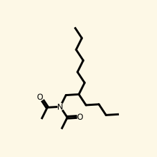 CCCCCCC(CCCC)CN(C(C)=O)C(C)=O